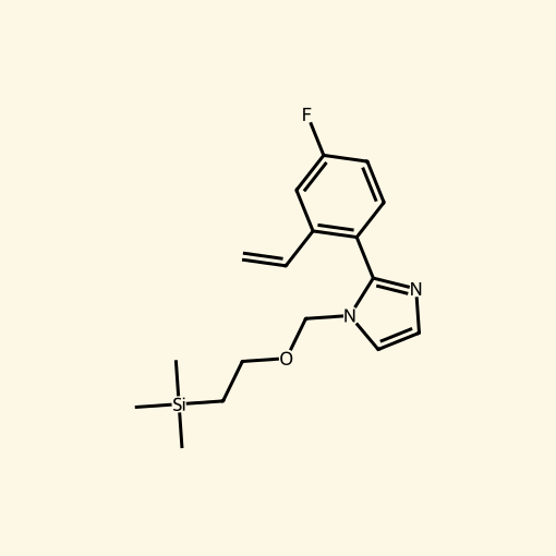 C=Cc1cc(F)ccc1-c1nccn1COCC[Si](C)(C)C